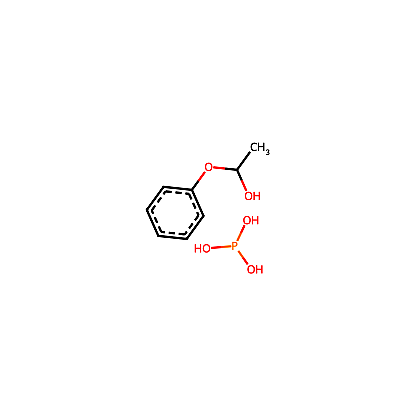 CC(O)Oc1ccccc1.OP(O)O